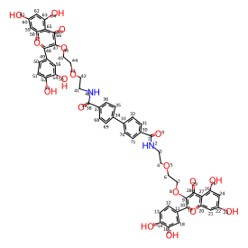 O=C(NCCOCCOc1c(-c2ccc(O)c(O)c2)oc2cc(O)cc(O)c2c1=O)c1ccc(-c2ccc(C(=O)NCCOCCOc3c(-c4ccc(O)c(O)c4)oc4cc(O)cc(O)c4c3=O)cc2)cc1